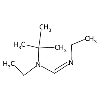 CC/N=C\N(CC)C(C)(C)C